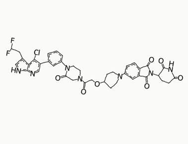 O=C1CCC(N2C(=O)c3ccc(N4CCC(OCC(=O)N5CCN(c6cccc(-c7cnc8[nH]cc(CC(F)F)c8c7Cl)c6)C(=O)C5)CC4)cc3C2=O)C(=O)N1